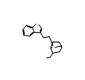 CCC1CC2CC(=O)C1N(CCc1c[nH]c3ccccc13)C2